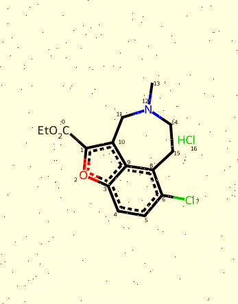 CCOC(=O)c1oc2ccc(Cl)c3c2c1CN(C)CC3.Cl